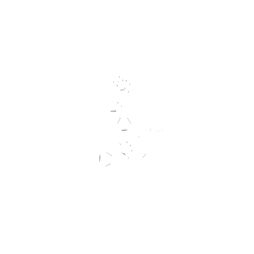 CC1C=CCC2(C1)N=C(c1cc(F)cc(Cl)c1)C(=O)N2[C@H](CCC(C)(C)C)c1ccc(C(=O)NCc2nn[nH]n2)cc1